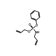 C=CCNP(=O)(OCC=C)Oc1ccccc1